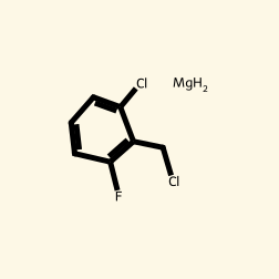 Fc1cccc(Cl)c1CCl.[MgH2]